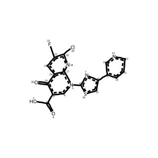 O=C(O)c1cn(-c2nc(-c3cccnc3)cs2)c2nc(Cl)c(F)cc2c1=O